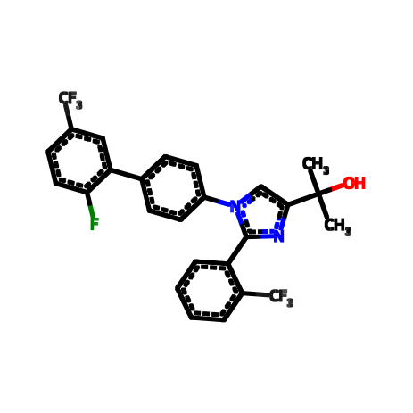 CC(C)(O)c1cn(-c2ccc(-c3cc(C(F)(F)F)ccc3F)cc2)c(-c2ccccc2C(F)(F)F)n1